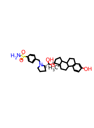 C[C@]12CCC3c4ccc(O)cc4CCC3C1CC[C@@H]2OC(O)[C@@H]1CCCN1Cc1ccc(S(N)(=O)=O)cc1